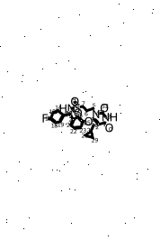 O=c1ccn(CCCS(=O)(=O)N[C@H](c2ccc(F)cc2)c2cccc(OCC3CC3)c2)c(=O)[nH]1